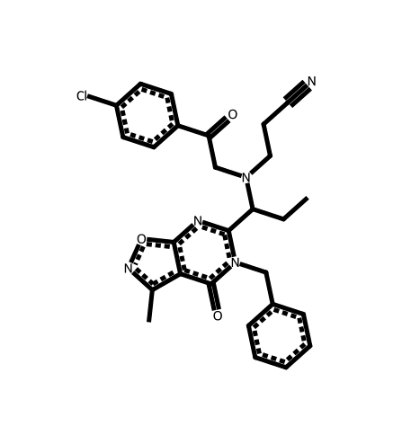 CCC(c1nc2onc(C)c2c(=O)n1Cc1ccccc1)N(CCC#N)CC(=O)c1ccc(Cl)cc1